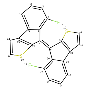 Fc1cccc2c1/C(=C1\c3sccc3-c3cccc(F)c31)c1sccc1-2